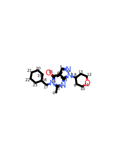 Cc1nc2c(cnn2C2CCOCC2)c(=O)n1CC1CCCCC1